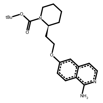 CC(C)(C)OC(=O)N1CCCC[C@H]1CCOc1ccc2c(N)nccc2c1